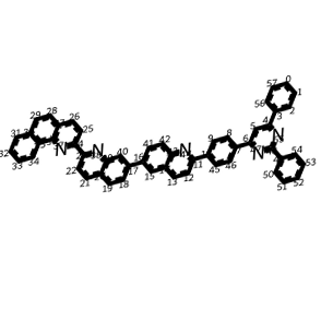 c1ccc(-c2cc(-c3ccc(-c4ccc5cc(-c6ccc7ccc(-c8ccc9ccc%10ccccc%10c9n8)nc7c6)ccc5n4)cc3)nc(-c3ccccc3)n2)cc1